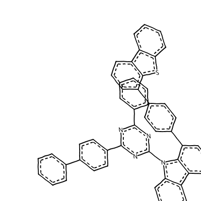 c1ccc(-c2ccc(-c3nc(-c4ccccc4)nc(-n4c5ccccc5c5cccc(-c6ccc(-c7cccc8c7sc7ccccc78)cc6)c54)n3)cc2)cc1